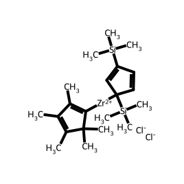 CC1=C(C)C(C)(C)[C]([Zr+2][C]2([Si](C)(C)C)C=CC([Si](C)(C)C)=C2)=C1C.[Cl-].[Cl-]